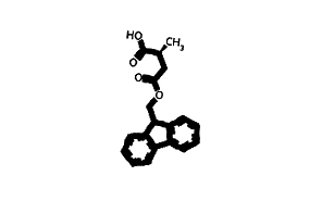 C[C@@H](CC(=O)OCC1c2ccccc2-c2ccccc21)C(=O)O